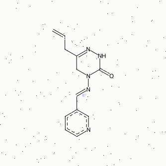 C=CCC1=NNC(=O)N(/N=C/c2cccnc2)C1